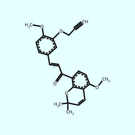 C#CCOc1cc(/C=C/C(=O)c2ccc(OC)c3c2OC(C)(C)C=C3)ccc1OC